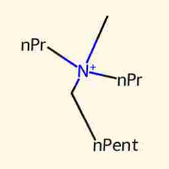 CCCCCC[N+](C)(CCC)CCC